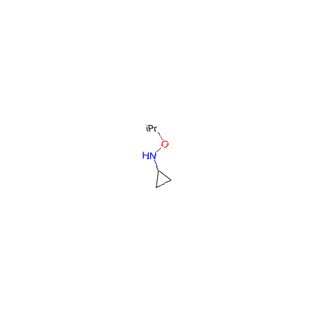 CC(C)ONC1CC1